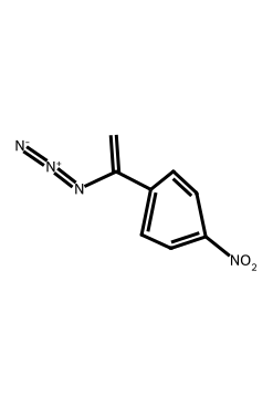 C=C(N=[N+]=[N-])c1ccc([N+](=O)[O-])cc1